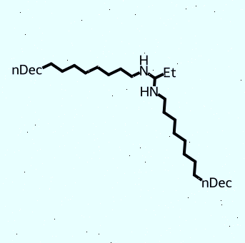 CCCCCCCCCCCCCCCCCCNC(CC)NCCCCCCCCCCCCCCCCCC